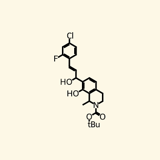 CC1c2c(ccc(C(O)C=Cc3ccc(Cl)cc3F)c2O)CCN1C(=O)OC(C)(C)C